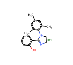 Cc1cc(C)c(N2CCN=C2c2ccccc2O)c(C)c1.Cl